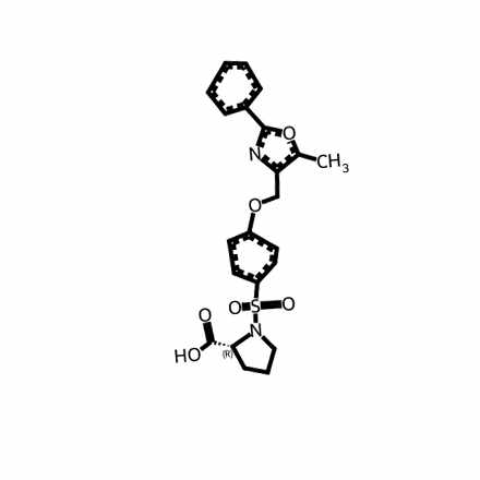 Cc1oc(-c2ccccc2)nc1COc1ccc(S(=O)(=O)N2CCC[C@@H]2C(=O)O)cc1